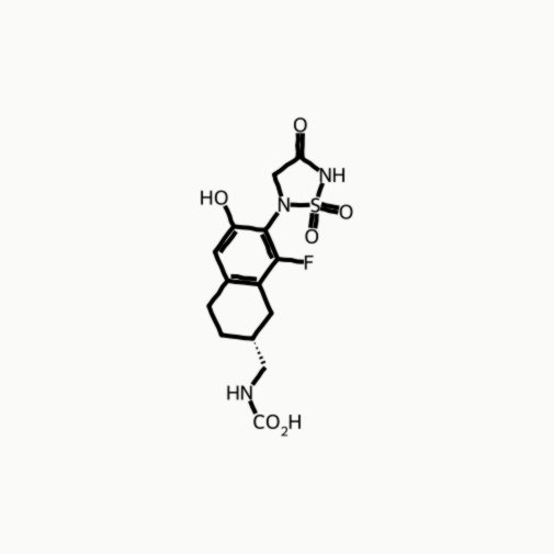 O=C(O)NC[C@@H]1CCc2cc(O)c(N3CC(=O)NS3(=O)=O)c(F)c2C1